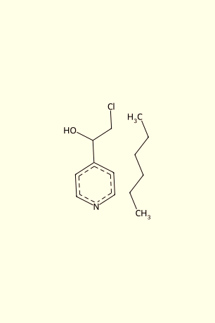 CCCCCC.OC(CCl)c1ccncc1